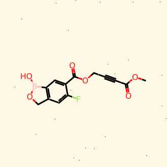 COC(=O)C#CCOC(=O)c1cc2c(cc1F)COB2O